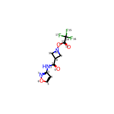 O=C(Nc1ccon1)C1CN(OC(=O)C(F)(F)F)C1